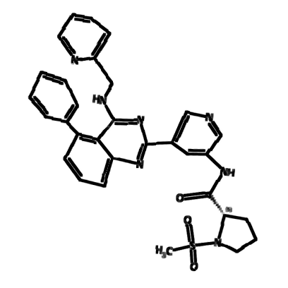 CS(=O)(=O)N1CCC[C@H]1C(=O)Nc1cncc(-c2nc(NCc3ccccn3)c3c(-c4ccccc4)cccc3n2)c1